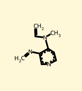 C=CN(C)c1ccncc1N=C